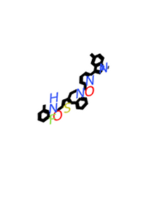 Cc1ccc2c(c1)c(-c1cccc(C(=O)N3CCc4cc(C(=O)Nc5c(C)cccc5F)sc4-c4ccccc43)n1)cn2C